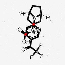 O=C(O)N[C@H]1C[C@H]2CC[C@@H](C1)N2c1ccc(C(=O)C(F)(F)F)cn1